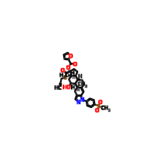 C#CCSC(=O)[C@@]1(OC(=O)c2ccco2)CC[C@H]2[C@@H]3CCC4=Cc5c(cnn5-c5ccc(S(C)(=O)=O)cc5)C[C@]4(C)[C@H]3[C@@H](O)C[C@@]21C